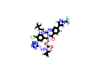 CC(C)(C)CCNC(=N)N(C(=O)c1ccc(-c2cnn(C(F)F)c2)cc1)[C@H](COC(=O)NC1(C)CC1)c1ccc(Cl)c(-n2cnnn2)c1